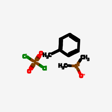 C[S+](C)[O-].Cc1ccccc1.O=S(=O)(Cl)Cl